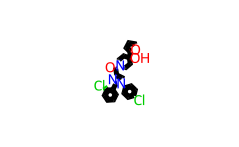 O=C(c1cn(-c2ccc(Cl)cc2)c(-c2ccccc2Cl)n1)N1CCC(O)(c2ccco2)CC1